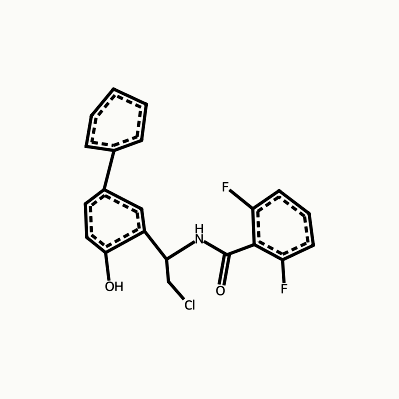 O=C(NC(CCl)c1cc(-c2ccccc2)ccc1O)c1c(F)cccc1F